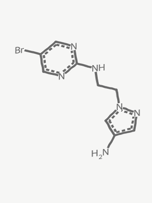 Nc1cnn(CCNc2ncc(Br)cn2)c1